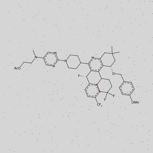 COc1ccc(CO[C@H]2CC(C)(C)Cc3nc(C4CCN(c5ncc(N(C)CCOC(C)=O)cn5)CC4)c([C@@H](F)c4ccc(C(F)(F)F)cc4)c(C4CCC(F)(F)CC4)c32)cc1